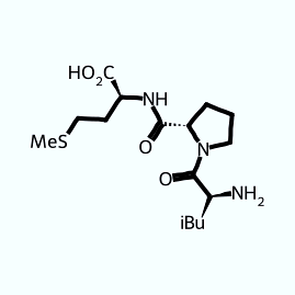 CC[C@H](C)[C@H](N)C(=O)N1CCC[C@H]1C(=O)N[C@@H](CCSC)C(=O)O